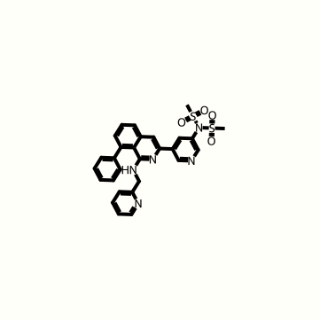 CS(=O)(=O)N(c1cncc(-c2cc3cccc(-c4ccccc4)c3c(NCc3ccccn3)n2)c1)S(C)(=O)=O